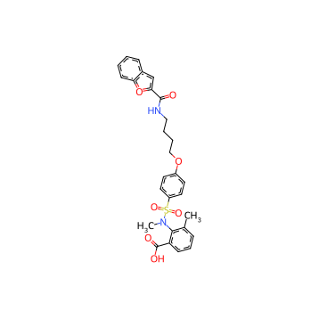 Cc1cccc(C(=O)O)c1N(C)S(=O)(=O)c1ccc(OCCCCNC(=O)c2cc3ccccc3o2)cc1